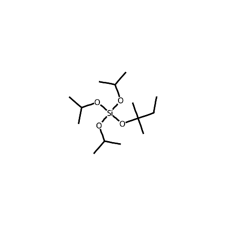 CCC(C)(C)O[Si](OC(C)C)(OC(C)C)OC(C)C